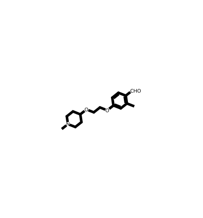 Cc1cc(OCCOC2CCN(C)CC2)ccc1C=O